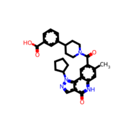 Cc1cc2[nH]c(=O)c3cnn(C4CCCC4)c3c2cc1C(=O)N1CCC(c2cccc(C(=O)O)c2)CC1